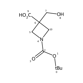 CC(C)(C)OC(=O)N1CC(CO)(C(=O)O)C1